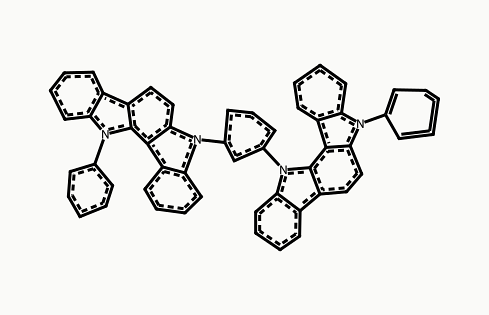 C1=C=CC(n2c3ccccc3c3c2ccc2c4ccccc4n(-c4cccc(-n5c6ccccc6c6c5ccc5c7ccccc7n(-c7ccccc7)c56)c4)c23)=CC=1